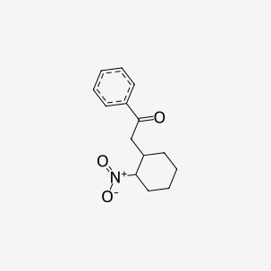 O=C(CC1CCCCC1[N+](=O)[O-])c1ccccc1